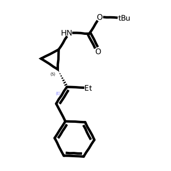 CC/C(=C\c1ccccc1)[C@@H]1CC1NC(=O)OC(C)(C)C